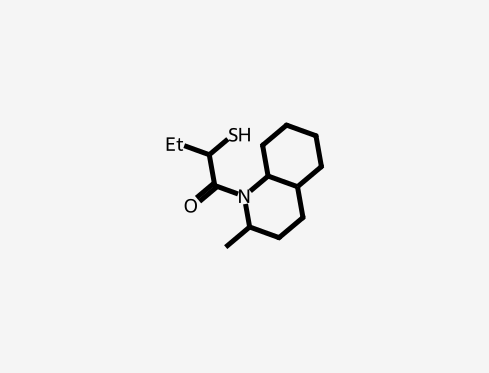 CCC(S)C(=O)N1C(C)CCC2CCCCC21